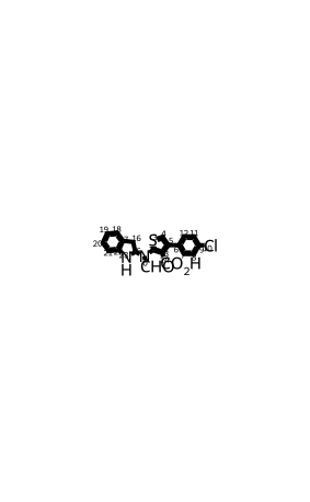 O=CN(c1scc(-c2ccc(Cl)cc2)c1C(=O)O)C1Cc2ccccc2N1